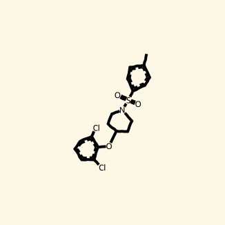 Cc1ccc(S(=O)(=O)N2CCC(Oc3c(Cl)cccc3Cl)CC2)cc1